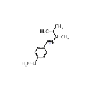 CC(C)N(C)/N=C/c1ccc(ON)cc1